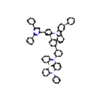 c1ccc(-c2ccc3c(c2)c2ccccc2n3-c2ccc(-c3cc(-c4ccccc4)nc(-c4ccccc4)n3)cc2-c2ccc(-c3cccc(N4c5ccccc5B5c6ccccc6N(c6ccccc6)c6cccc4c65)c3)cc2)cc1